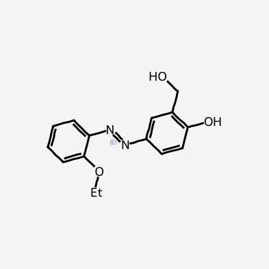 CCOc1ccccc1/N=N/c1ccc(O)c(CO)c1